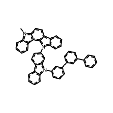 Cn1c2ccccc2c2c1ccc1c3ccccc3n(-c3ccc4c5ccccc5n(-c5cccc(-c6cccc(-c7ccccc7)c6)c5)c4c3)c12